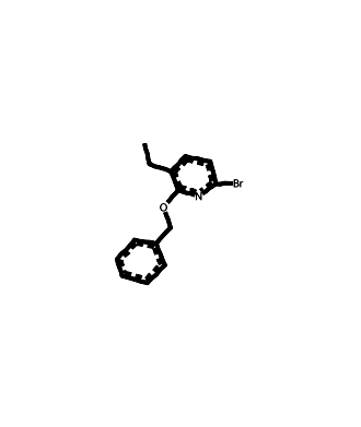 CCc1ccc(Br)nc1OCc1ccccc1